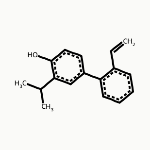 C=Cc1ccccc1-c1ccc(O)c(C(C)C)c1